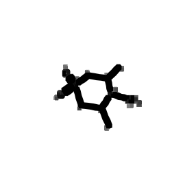 CC1CS(=O)(=O)CC(C)N1N